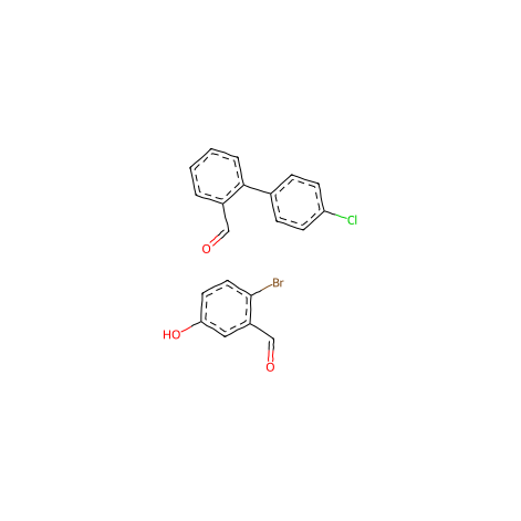 O=Cc1cc(O)ccc1Br.O=Cc1ccccc1-c1ccc(Cl)cc1